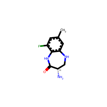 Cc1cc(F)c2c(c1)NC[C@H](N)C(=O)N2